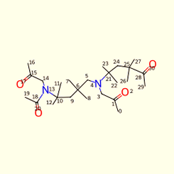 CC(=O)CN(CC(C)(C)CC(C)(C)N(CC(C)=O)C(C)=O)C(C)(C)CC(C)(C)C(C)=O